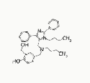 CCCCN(Cc1ccc(O)c(CO)c1)Cc1c(-c2ccccc2)nc(-c2ccccc2)n1CCCC